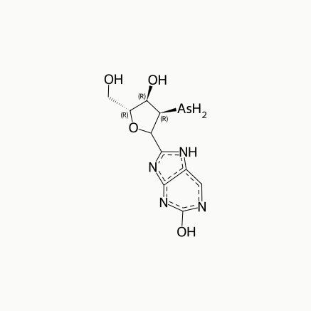 OC[C@H]1OC(c2nc3nc(O)ncc3[nH]2)[C@H]([AsH2])[C@@H]1O